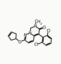 CN1CN2N=C(OC3CC=CC3)C=CC2=C(c2c(Cl)cccc2Cl)C1=O